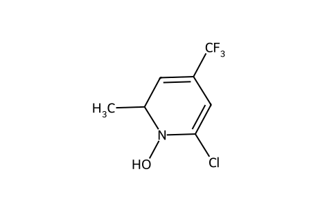 CC1C=C(C(F)(F)F)C=C(Cl)N1O